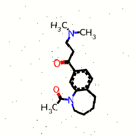 CC(=O)N1CCCCc2ccc(C(=O)CCN(C)C)cc21